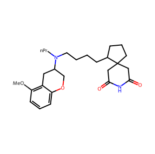 CCCN(CCCCC1CCCC12CC(=O)NC(=O)C2)C1COc2cccc(OC)c2C1